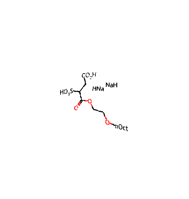 CCCCCCCCOCCOC(=O)C(CC(=O)O)S(=O)(=O)O.[NaH].[NaH]